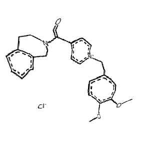 COc1ccc(C[n+]2ccc(C(=O)N3CCc4ccccc4C3)cc2)cc1OC.[Cl-]